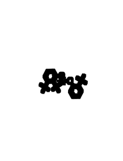 CC(C)(C)c1ccccc1[O][Al][O]c1cccc(C(C)(C)C)c1C(C)(C)C